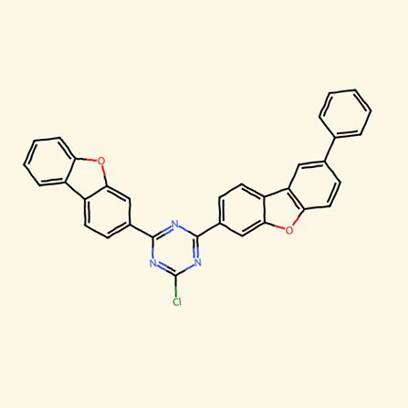 Clc1nc(-c2ccc3c(c2)oc2ccccc23)nc(-c2ccc3c(c2)oc2ccc(-c4ccccc4)cc23)n1